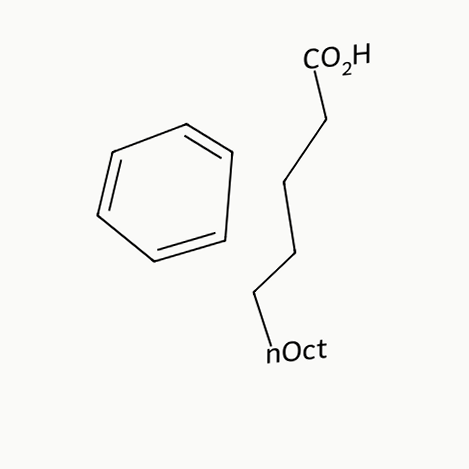 CCCCCCCCCCCCC(=O)O.c1ccccc1